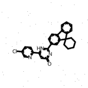 O=c1cc(-c2ccc(Cl)cn2)[nH]c(-c2ccc3c(c2)C2(CCCCC2)c2ccccc2-3)n1